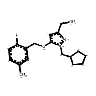 Cc1ccc(F)c(COc2cc(CN)nn2CC2CCCC2)c1